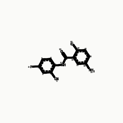 N#Cc1cc(F)ccc1NC(=O)c1cc(N)ccc1Cl